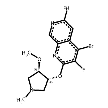 [2H]c1cc2c(Br)c(F)c(O[C@@H]3CN(C)C[C@H]3OC)nc2cn1